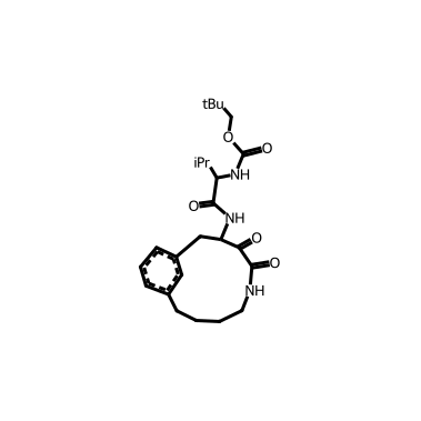 CC(C)C(NC(=O)OCC(C)(C)C)C(=O)NC1Cc2cccc(c2)CCCCNC(=O)C1=O